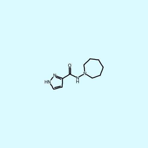 O=C(NN1CCCCCC1)c1cc[nH]n1